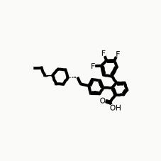 CCC[C@H]1CC[C@H](CCc2ccc(-c3c(C(=O)O)cccc3-c3cc(F)c(F)c(F)c3)cc2)CC1